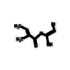 CC=C(C)C(=O)OC(O)=CCC